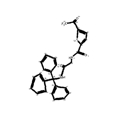 O=C(CNC(=O)c1ccc(C(=O)C(F)(F)F)s1)NC(c1ccccc1)(c1ccccc1)c1ccccc1